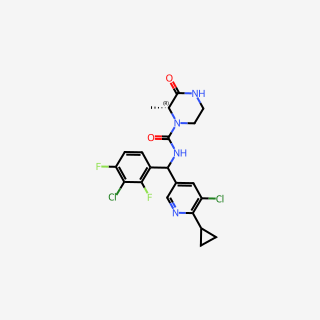 C[C@@H]1C(=O)NCCN1C(=O)NC(c1cnc(C2CC2)c(Cl)c1)c1ccc(F)c(Cl)c1F